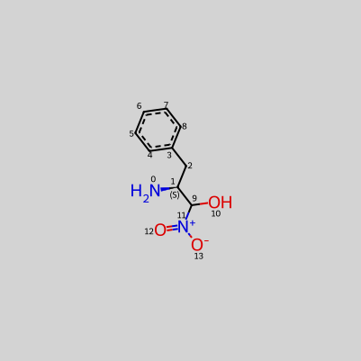 N[C@@H](Cc1ccccc1)C(O)[N+](=O)[O-]